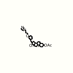 CC(=O)O[C@H]1CC[C@@]2(C)C(=CCC3C2CC[C@]2(C)C(=O)C(=Cc4cccc(OCCCn5ccnc5)c4)CC32)C1